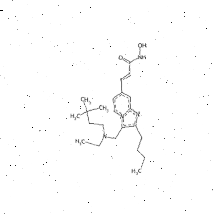 CCCCc1nc2cc(C=CC(=O)NO)ccn2c1CN(CC)CCC(C)(C)C